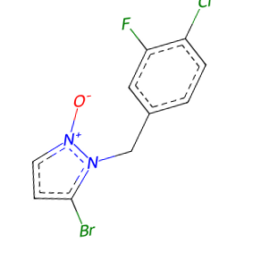 [O-][n+]1ccc(Br)n1Cc1ccc(Cl)c(F)c1